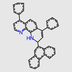 C1=C(c2ccccc2)c2ccc3c(-c4ccccc4)ccnc3c2NC1c1cc2ccccc2c2ccccc12